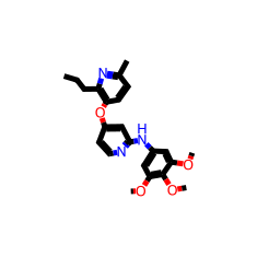 CCCc1nc(C)ccc1Oc1ccnc(Nc2cc(OC)c(OC)c(OC)c2)c1